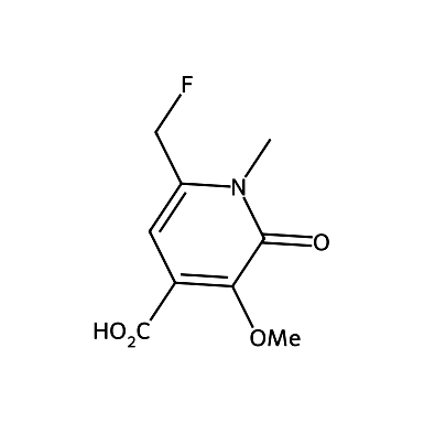 COc1c(C(=O)O)cc(CF)n(C)c1=O